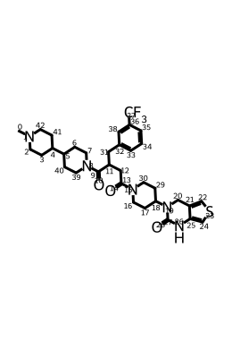 CN1CCC(C2CCN(C(=O)C(CC(=O)N3CCC(N4Cc5cscc5NC4=O)CC3)Cc3cccc(C(F)(F)F)c3)CC2)CC1